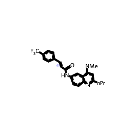 CCCc1cc(NC)c2cc(NC(=O)/C=C/c3ccc(C(F)(F)F)cc3)ccc2n1